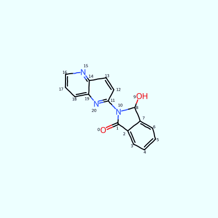 O=C1c2ccccc2C(O)N1c1ccc2ncccc2n1